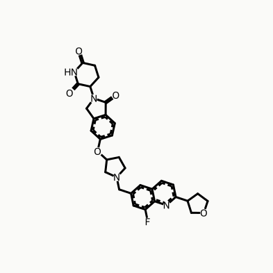 O=C1CCC(N2Cc3cc(OC4CCN(Cc5cc(F)c6nc(C7CCOC7)ccc6c5)C4)ccc3C2=O)C(=O)N1